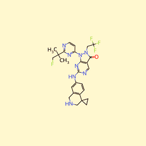 CC(C)(CF)c1nccc(-n2c3nc(Nc4ccc5c(c4)CNCC54CC4)ncc3c(=O)n2CC(F)(F)F)n1